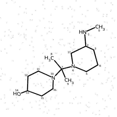 CNC1CCCN(C(C)(C)N2CCC(O)CC2)C1